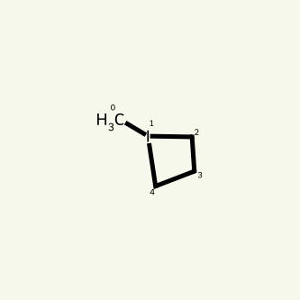 CI1CCC1